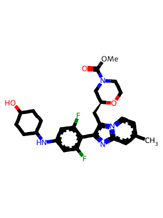 COC(=O)N1CCO[C@@H](Cc2c(-c3c(F)cc(NC4CCC(O)CC4)cc3F)nc3cc(C)ccn23)C1